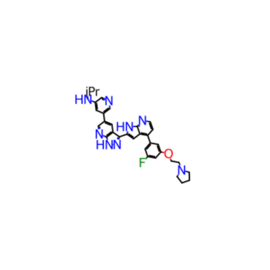 CC(C)Nc1cncc(-c2cnc3[nH]nc(-c4cc5c(-c6cc(F)cc(OCCN7CCCC7)c6)ccnc5[nH]4)c3c2)c1